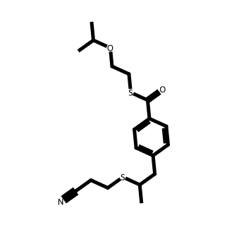 CC(C)OCCSC(=O)c1ccc(CC(C)SCCC#N)cc1